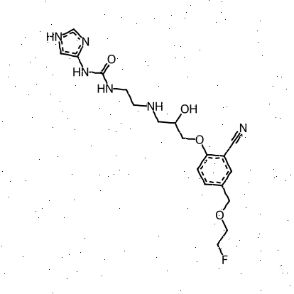 N#Cc1cc(COCCF)ccc1OCC(O)CNCCNC(=O)Nc1c[nH]cn1